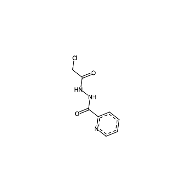 O=C(CCl)NNC(=O)c1ccccn1